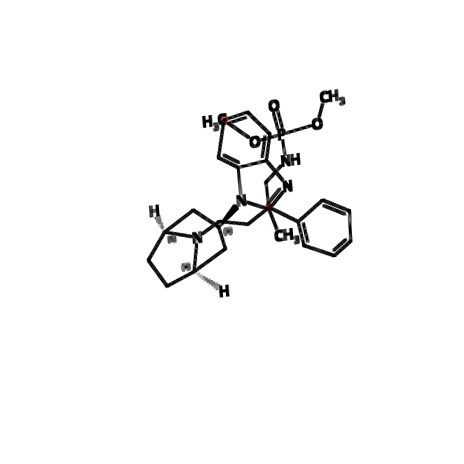 COP(=O)(NCC(CCN1[C@@H]2CC[C@H]1C[C@@H](n1c(C)nc3ccccc31)C2)c1ccccc1)OC